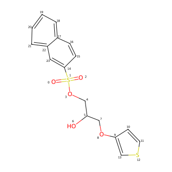 O=S(=O)(OCC(O)COc1ccsc1)c1ccc2ccccc2c1